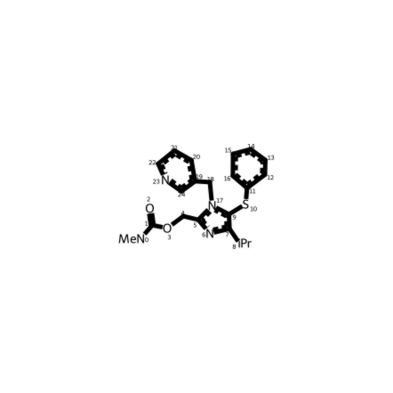 CNC(=O)OCc1nc(C(C)C)c(Sc2ccccc2)n1Cc1cccnc1